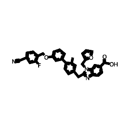 Cc1cc(Cc2nc3ccc(C(=O)O)cc3n2Cc2ccco2)ccc1-c1cccc(OCc2ccc(C#N)cc2F)c1